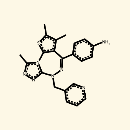 Cc1sc2c(c1C)C(c1ccc(N)cc1)=NN(Cc1cccnc1)c1nnc(C)n1-2